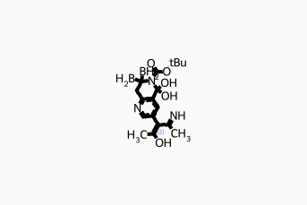 BC1(B)Cc2ncc(/C(C(C)=N)=C(\C)O)cc2C(O)(O)N1C(=O)OC(C)(C)C